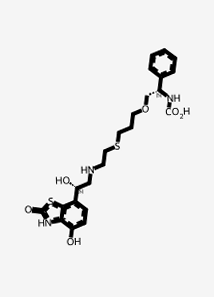 O=C(O)N[C@H](COCCCSCCNC[C@@H](O)c1ccc(O)c2[nH]c(=O)sc12)c1ccccc1